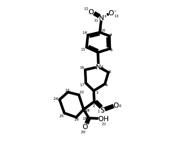 O=S=C(C1CCN(c2ccc([N+](=O)[O-])cc2)CC1)C1(C(=O)O)CCCCC1